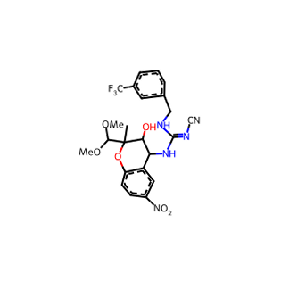 COC(OC)C1(C)Oc2ccc([N+](=O)[O-])cc2C(NC(=NC#N)NCc2cccc(C(F)(F)F)c2)C1O